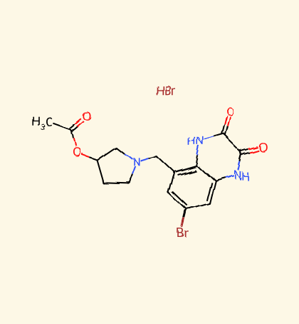 Br.CC(=O)OC1CCN(Cc2cc(Br)cc3[nH]c(=O)c(=O)[nH]c23)C1